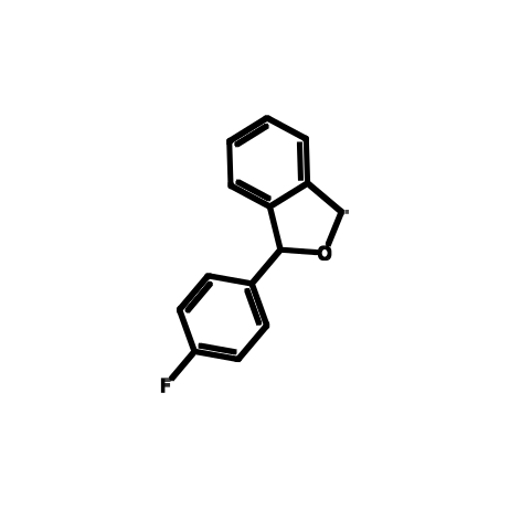 Fc1ccc(C2O[CH]c3ccccc32)cc1